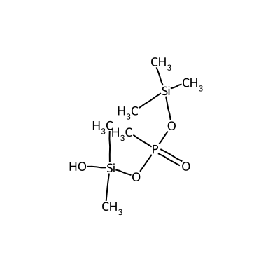 C[Si](C)(C)OP(C)(=O)O[Si](C)(C)O